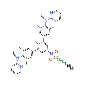 CC=[N+](c1ccccn1)c1c(C)cc(-c2cc([N+](=O)[O-])cc(-c3cc(C)c([N+](=CC)c4ccccn4)c(C)c3)c2C)cc1C.[Cl-].[Cl-].[Cl-].[Cl-].[Ni].[Ni]